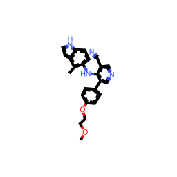 COCCOc1ccc(-c2cncc(C#N)c2Nc2ccc3[nH]ccc3c2C)cc1